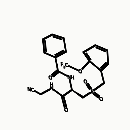 N#CCNC(=O)[C@H](CS(=O)(=O)Cc1ccccc1OC(F)(F)F)NC(=O)c1ccccc1